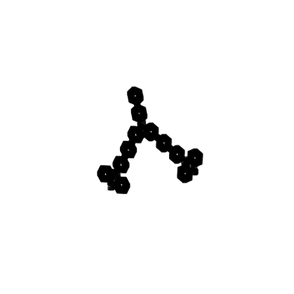 c1ccc(-c2ccc(-n3c4ccc(-c5ccc(-c6ccc(N7c8ccccc8Sc8ccccc87)cc6)cc5)cc4c4cc(-c5ccc(-c6ccc(N7c8ccccc8Sc8ccccc87)cc6)cc5)ccc43)cc2)cc1